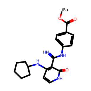 CC(C)(C)OC(=O)c1ccc(NC(=N)c2c(NC3CCCCC3)cc[nH]c2=O)cc1